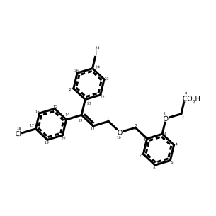 O=C(O)COc1ccccc1COCC=C(c1ccc(Cl)cc1)c1ccc(I)cc1